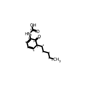 CCCCCC1C=CC=C(NC(=O)O)C1=O